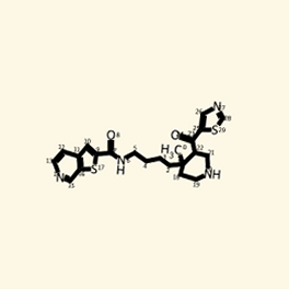 CC1(CCCCNC(=O)c2cc3ccncc3s2)CCNCC1C(=O)c1cncs1